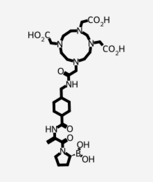 C=C(NC(=O)C1CCC(CNC(=O)CN2CCN(CC(=O)O)CCN(CC(=O)O)CN(CC(=O)O)CC2)CC1)C(=O)N1CCC[C@H]1B(O)O